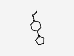 ISN1CCC(N2CCCC2)CC1